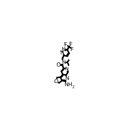 CC(C)N(Cc1ccc(C(F)(F)F)nn1)C(=O)c1cc2c3c(c(N)nc2cn1)COC3